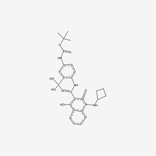 CC(C)(C)OC(=O)Nc1ccc2c(c1)S(O)(O)N=C(c1c(O)c3ccccc3n(NC3CCC3)c1=O)N2